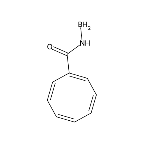 BNC(=O)C1=C/C=C\C=C/C=C\1